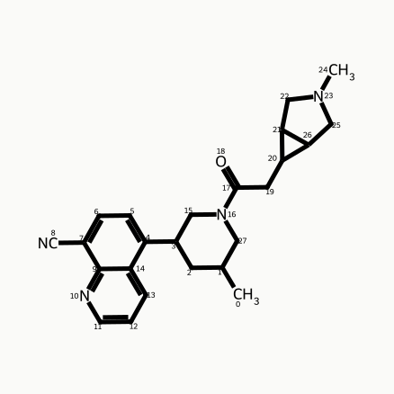 CC1CC(c2ccc(C#N)c3ncccc23)CN(C(=O)CC2C3CN(C)CC23)C1